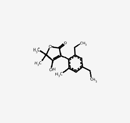 CCc1cc(C)c(C2=C(O)C(C)(C)OC2=O)c(CC)c1